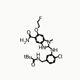 CN1c2cc(OCCF)c(C(N)=O)cc2NC1Nc1cc(CNC(=O)C(C)(C)C)ccc1Cl